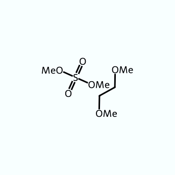 COCCOC.COS(=O)(=O)OC